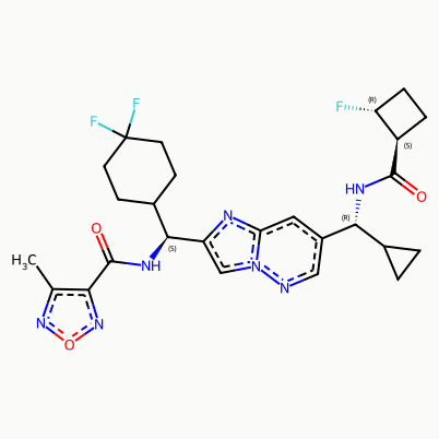 Cc1nonc1C(=O)N[C@H](c1cn2ncc([C@H](NC(=O)[C@@H]3CC[C@H]3F)C3CC3)cc2n1)C1CCC(F)(F)CC1